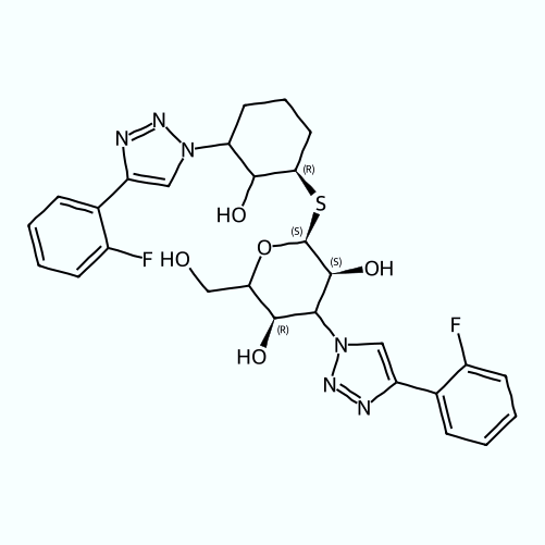 OCC1O[C@@H](S[C@@H]2CCCC(n3cc(-c4ccccc4F)nn3)C2O)[C@@H](O)C(n2cc(-c3ccccc3F)nn2)[C@H]1O